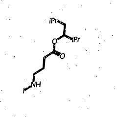 CC(C)CC(OC(=O)CCCNI)C(C)C